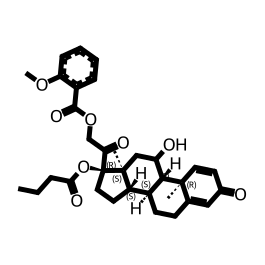 CCCC(=O)O[C@]1(C(=O)COC(=O)c2ccccc2OC)CC[C@H]2[C@@H]3CCC4=CC(=O)C=C[C@]4(C)[C@H]3C(O)C[C@@]21C